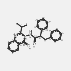 CC(C)c1nc2ccccc2c(=O)n1NC(=O)C(Cc1ccccc1)c1ccccc1